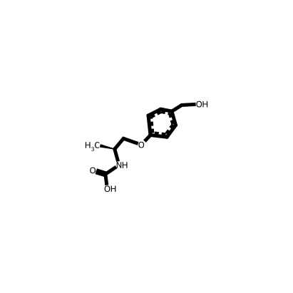 C[C@@H](COc1ccc(CO)cc1)NC(=O)O